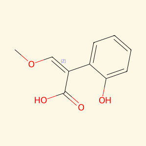 CO/C=C(\C(=O)O)c1ccccc1O